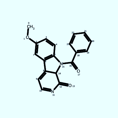 COc1ccc2c(c1)C1=CC=NC(=O)C1N2C(=O)c1ccccc1